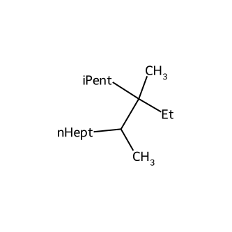 CCCCCCCC(C)C(C)(CC)C(C)CCC